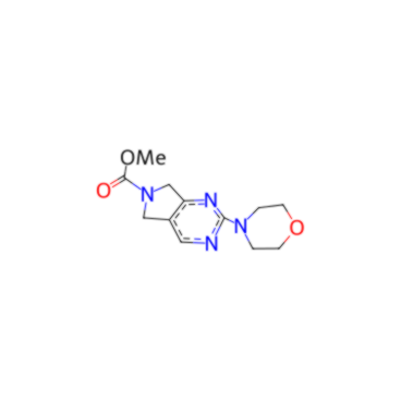 COC(=O)N1Cc2cnc(N3CCOCC3)nc2C1